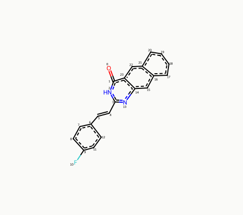 O=c1[nH]c(C=Cc2ccc(F)cc2)nc2cc3ccccc3cc12